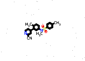 Cc1ccc(S(=O)(=O)N(C)c2ccc(C)c(-c3ccnc(C#N)c3)c2)cc1